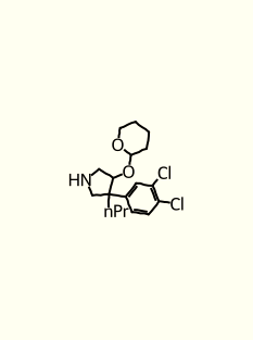 CCCC1(c2ccc(Cl)c(Cl)c2)CNCC1OC1CCCCO1